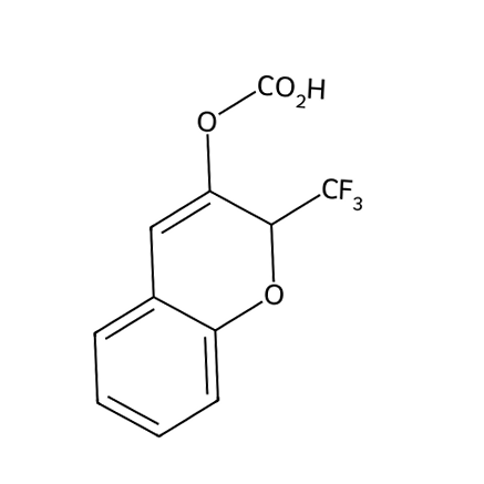 O=C(O)OC1=Cc2ccccc2OC1C(F)(F)F